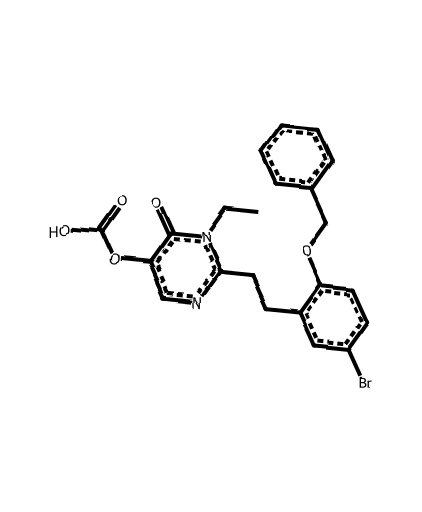 CCn1c(CCc2cc(Br)ccc2OCc2ccccc2)ncc(OC(=O)O)c1=O